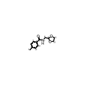 Cc1ccc(C(=O)NCC2OCCO2)cc1